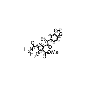 CCC(C(=O)c1sc(C(N)=O)c(C)c1C(=O)OC)c1ccc2c(c1)OCO2